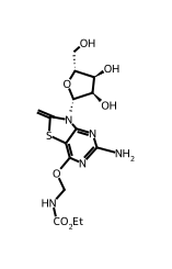 C=C1Sc2c(OCNC(=O)OCC)nc(N)nc2N1[C@@H]1O[C@H](CO)[C@@H](O)[C@H]1O